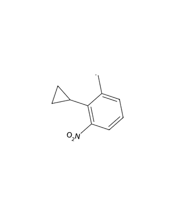 [CH2]c1cccc([N+](=O)[O-])c1C1CC1